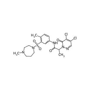 Cc1ccc(NC(=O)C(C)n2ncc(Cl)c(Cl)c2=O)cc1S(=O)(=O)N1CCCN(C)CC1